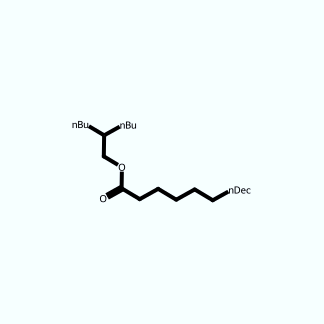 CCCCCCCCCCCCCCCC(=O)OCC(CCCC)CCCC